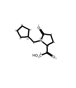 O=C(O)C(=O)C1CCC(=O)N1CC1CCCC1